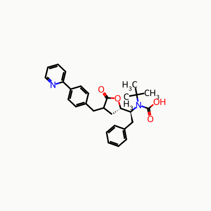 CC(C)(C)N(C(=O)O)[C@@H](Cc1ccccc1)[C@@H]1CC(Cc2ccc(-c3ccccn3)cc2)C(=O)O1